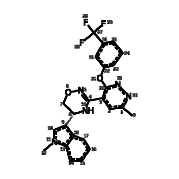 Cc1cc(C2=NOC[C@@H](c3cn(C)c4ccccc34)N2)c(Oc2cccc(C(F)(F)F)c2)nn1